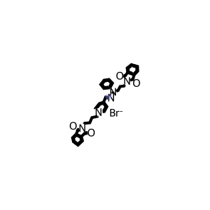 O=C1c2ccccc2C(=O)N1CCCC[n+]1ccc(/C=N/N(CCCN2C(=O)c3ccccc3C2=O)c2ccccc2)cc1.[Br-]